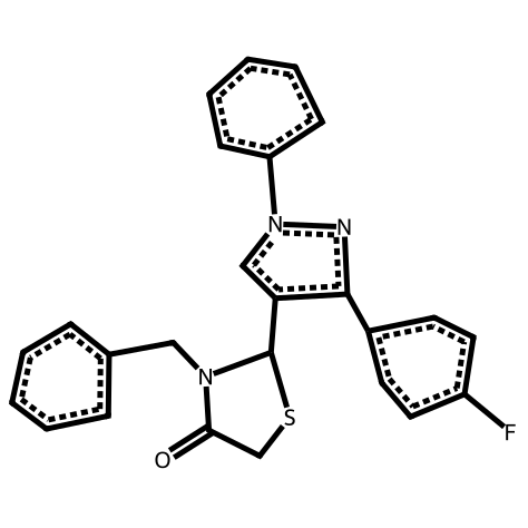 O=C1CSC(c2cn(-c3ccccc3)nc2-c2ccc(F)cc2)N1Cc1ccccc1